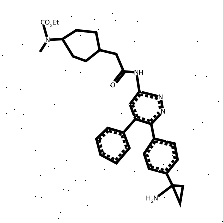 CCOC(=O)N(C)C1CCC(CC(=O)Nc2cc(-c3ccccc3)c(-c3ccc(C4(N)CC4)cc3)nn2)CC1